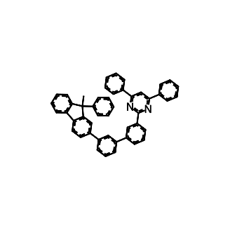 CC1(c2ccccc2)c2ccccc2-c2ccc(-c3cccc(-c4cccc(-c5nc(-c6ccccc6)cc(-c6ccccc6)n5)c4)c3)cc21